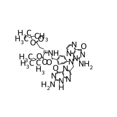 CC(C)(C)OC(=O)CC[C@H](NC(=O)c1ccc(N(Cc2cnc3[nH]c(N)nc(=O)c3n2)n2c(N)nc(=O)c3nccnc32)cc1)C(=O)OC(C)(C)C